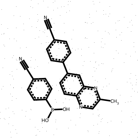 Cc1cnc2ccc(-c3ccc(C#N)cc3)cc2n1.N#Cc1ccc(B(O)O)cc1